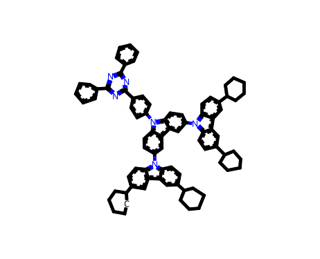 c1ccc(-c2nc(-c3ccccc3)nc(-c3ccc(-n4c5ccc(-n6c7ccc(C8CCCCC8)cc7c7cc(C8CCCCC8)ccc76)cc5c5cc(-n6c7ccc(C8CCCCC8)cc7c7cc(C8CCCCC8)ccc76)ccc54)cc3)n2)cc1